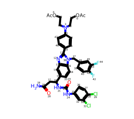 CC(=O)OCCN(CCOC(C)=O)c1ccc(-c2nc3cc(C(CC(N)=O)NC(=O)Nc4ccc(Cl)c(Cl)c4)ccc3n2Cc2ccc(F)c(F)c2)cc1